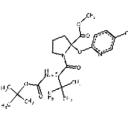 COC(=O)C1(Oc2ccc(Cl)cn2)CCCN1C(=O)[C@@H](NC(=O)OC(C)(C)C)C(C)(C)C